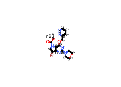 CCCCOC(=O)n1cc(Br)c2nc(N3CCOCC3)nc(OCc3cccnn3)c21